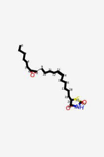 CCCCCCC1O[C@H]1CCCC/C=C\CCCCCC1SC(=O)NC1=O